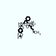 CSCC[C@H](N)C(=O)NCC1(CC(=O)Nc2nc3ccc(OC(F)(F)F)cc3s2)CCCCC1